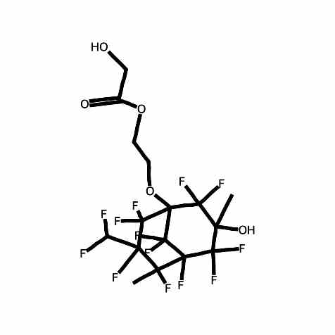 CC1(O)C(F)(F)C2(F)C(C)(F)C(F)(C(F)F)C(F)(F)C(OCCOC(=O)CO)(C1(F)F)C2(F)F